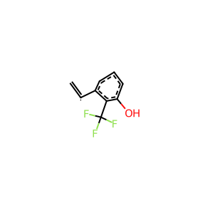 C=[C]c1cccc(O)c1C(F)(F)F